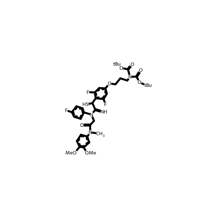 COc1ccc(N(C)C(=O)CN(C(=N)C(S)c2c(F)cc(OCCCN(C(=O)OC(C)(C)C)C(=O)OC(C)(C)C)cc2F)c2ccc(F)cc2)cc1OC